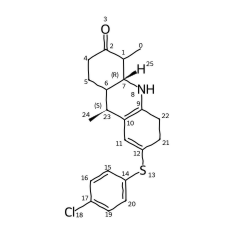 CC1C(=O)CCC2[C@H]1NC1=C(C=C(Sc3ccc(Cl)cc3)CC1)[C@H]2C